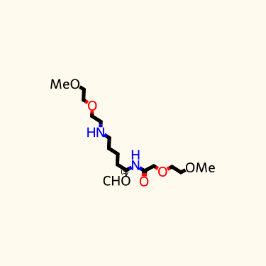 COCCOCCNCCCC[C@@H](C=O)NC(=O)COCCOC